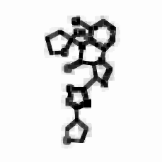 CC1(N2C(=O)C3C(c4nc(C5CCOC5)no4)N=CN3c3cccc(Cl)c32)CCCO1